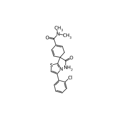 CN(C)C(=O)C1=CCC(C(N)=O)(c2nc(-c3ccccc3Cl)cs2)C=C1